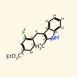 CCOC(=O)C1=CC(F)=C(Cc2c(C)[nH]c3ccccc23)CC1